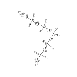 F.F.F.F.F.FC(F)(F)[S].FC(F)(F)[S].FC(F)(F)[S].FC(F)(F)[S].FC(F)(F)[S]